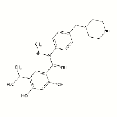 CNN(C(=N)c1cc(C(C)C)c(O)cc1O)c1ccc(CN2CCNCC2)cc1